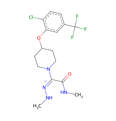 CN/N=C(\C(=O)NC)N1CCC(Oc2cc(C(F)(F)F)ccc2Cl)CC1